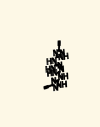 C#Cc1n[nH]c(NC2=NN=C(Nc3nc(C#C)n[nH]3)NN2)n1